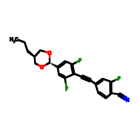 CCC[C@H]1CO[C@H](c2cc(F)c(C#Cc3ccc(C#N)c(F)c3)c(F)c2)OC1